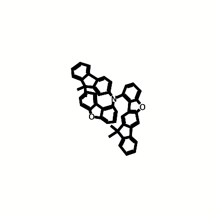 CC1(C)c2ccccc2-c2ccc(N(c3cccc4oc5ccccc5c34)c3cccc4oc5cc6c(cc5c34)C(C)(C)c3ccccc3-6)cc21